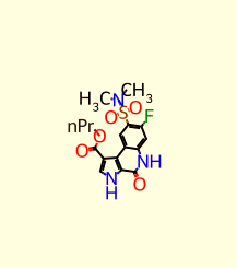 CCCOC(=O)c1c[nH]c2c(=O)[nH]c3cc(F)c(S(=O)(=O)N(C)C)cc3c12